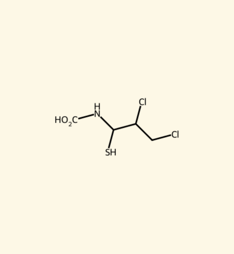 O=C(O)NC(S)C(Cl)CCl